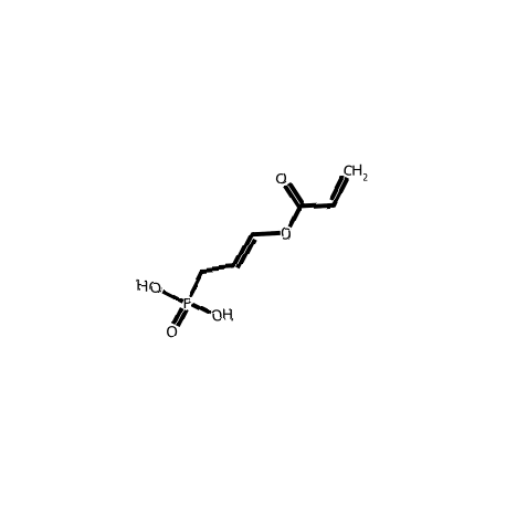 C=CC(=O)OC=CCP(=O)(O)O